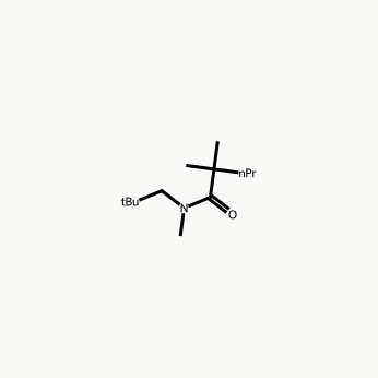 CCCC(C)(C)C(=O)N(C)CC(C)(C)C